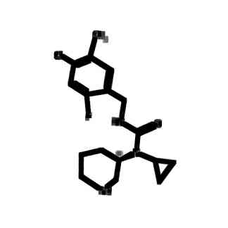 Cc1cc(CNC(=O)N(C2CC2)[C@@H]2CCCNC2)c(F)cc1Cl